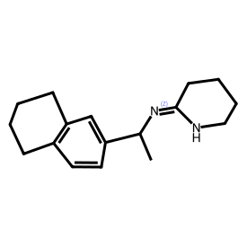 CC(/N=C1/CCCCN1)c1ccc2c(c1)CCCC2